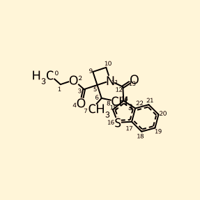 CCOC(=O)C1(C(C)C)CCN1C(=O)c1csc2ccccc12